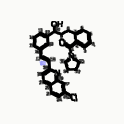 O=C(c1ccccc1CCC(O)c1cccc(/C=C/c2ccc3ccc(Cl)cc3n2)c1)N1CCCC1